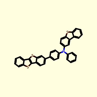 c1ccc(N(c2ccc(-c3ccc4c(c3)sc3c5ccccc5sc43)cc2)c2ccc3sc4ccccc4c3c2)cc1